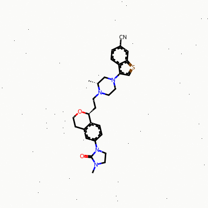 C[C@@H]1CN(c2csc3cc(C#N)ccc23)CCN1CC[C@@H]1OCCc2cc(N3CCN(C)C3=O)ccc21